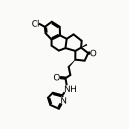 C[C@]12CCC3c4ccc(Cl)cc4CCC3C1[C@H](CCC(=O)Nc1ccccn1)CC2=O